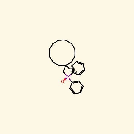 CC1(CP(=O)(c2ccccc2)c2ccccc2)CCCCCCCCCCC1